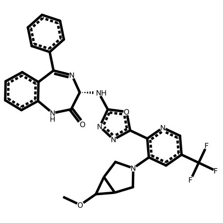 COC1C2CN(c3cc(C(F)(F)F)cnc3-c3nnc(N[C@H]4N=C(c5ccccc5)c5ccccc5NC4=O)o3)CC21